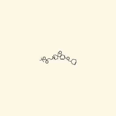 CC(C)(C)OC(=O)CCN1CCC2(CC1)COc1cc(OCC3CC=CCC3)ccc12